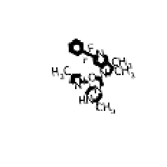 Cc1cnn(C[C@H]2CN[C@H](C)CN2CC(=O)N2CC(C)(C)c3cnc(C(F)(F)c4ccccc4)cc32)c1